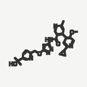 COc1cnc(C2CC2)cc1-c1cc(C)ncc1C(=O)Nc1nnc(OCc2ccc(C(C)(C)O)cn2)s1